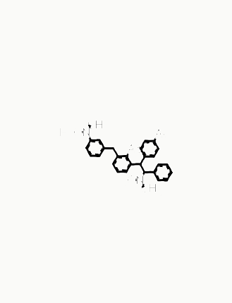 CC(=O)c1ccc(C(c2[c]ccc(Cc3cccc(N(C)C)c3)c2C(C)=O)C(c2ccccc2)N(C)C)cc1